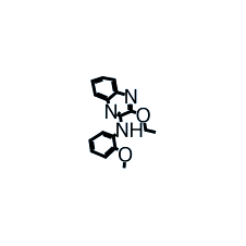 CCOc1nc2ccccc2nc1Nc1ccccc1OC